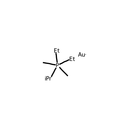 CCP(C)(C)(CC)C(C)C.[Au]